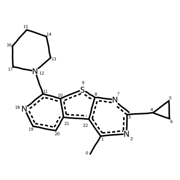 Cc1nc(C2CC2)nc2sc3c(N4CCCCC4)nccc3c12